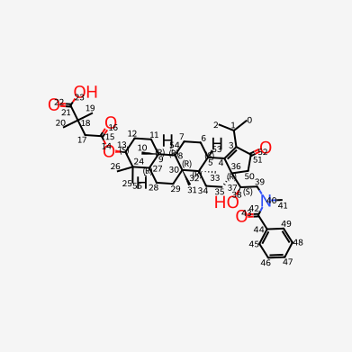 CC(C)C1=C2[C@H]3CC[C@@H]4[C@@]5(C)CC[C@H](OC(=O)CC(C)(C)C(=O)O)C(C)(C)[C@@H]5CC[C@@]4(C)[C@]3(C)CC[C@@]2([C@H](O)CN(C)C(=O)c2ccccc2)CC1=O